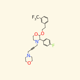 Fc1ccc(C2C(OCCc3cccc(C(F)(F)F)c3)OCCN2CC#CCN2CCOCC2)cc1